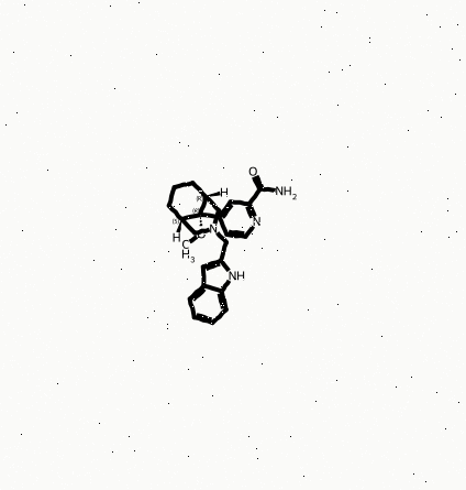 CO[C@@]1(c2ccnc(C(N)=O)c2)[C@@H]2CCC[C@H]1CN(Cc1cc3ccccc3[nH]1)C2